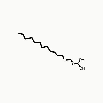 CCCCCCCCCCCCOCOB(O)O